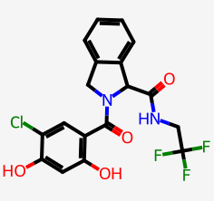 O=C(NCC(F)(F)F)C1c2ccccc2CN1C(=O)c1cc(Cl)c(O)cc1O